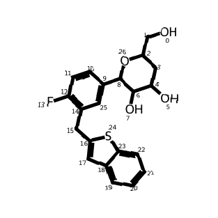 OCC1CC(O)C(O)C(c2ccc(F)c(Cc3cc4ccccc4s3)c2)O1